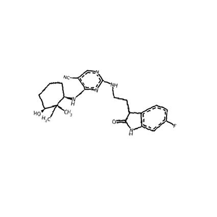 CC1(C)[C@@H](O)CCC[C@H]1Nc1nc(NCCC2C(=O)Nc3cc(F)ccc32)ncc1C#N